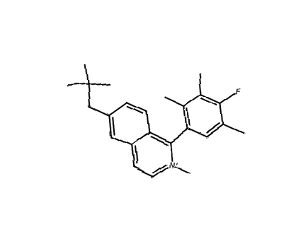 Cc1cc(-c2c3ccc(CC(C)(C)C)cc3cc[n+]2C)c(C)c(C)c1F